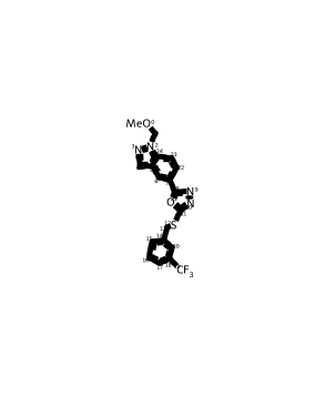 COCn1ncc2cc(-c3nnc(SCc4cccc(C(F)(F)F)c4)o3)ccc21